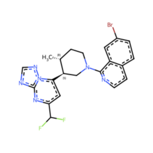 C[C@@H]1CCN(c2nccc3ccc(Br)cc23)C[C@H]1c1cc(C(F)F)nc2ncnn12